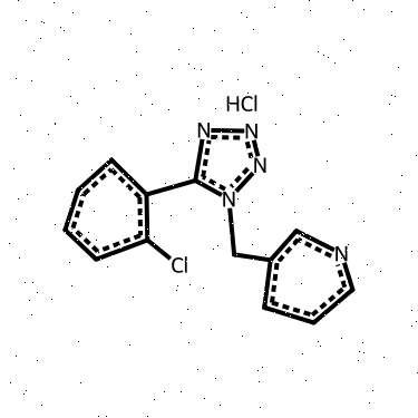 Cl.Clc1ccccc1-c1nnnn1Cc1cccnc1